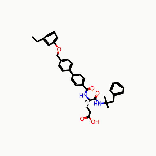 CCc1cccc(OCc2ccc(-c3ccc(C(=O)N[C@@H](CCC(=O)O)C(=O)NC(C)(C)Cc4ccccc4)cc3)cc2)c1